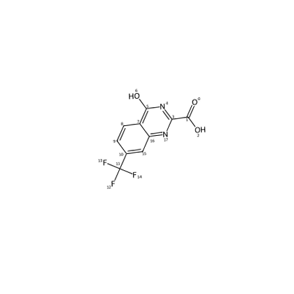 O=C(O)c1nc(O)c2ccc(C(F)(F)F)cc2n1